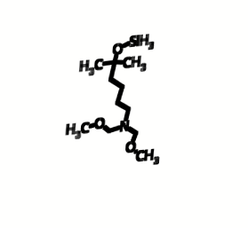 COCN(CCCCC(C)(C)O[SiH3])COC